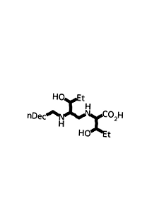 CCCCCCCCCCCNC(CNC(C(=O)O)C(O)CC)C(O)CC